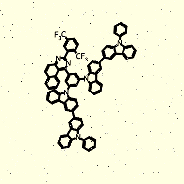 FC(F)(F)c1ccc(C(F)(F)F)c(-c2nc(-c3cc(-n4c5ccccc5c5cc(-c6ccc7c(c6)c6ccccc6n7-c6ccccc6)ccc54)cc(-n4c5ccccc5c5cc(-c6ccc7c(c6)c6ccccc6n7-c6ccccc6)ccc54)c3)c3c(ccc4ccccc43)n2)c1